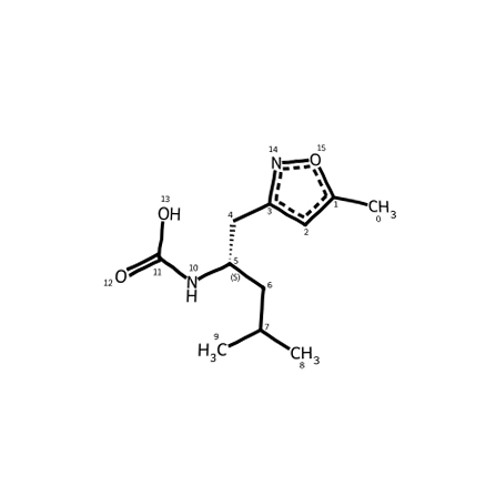 Cc1cc(C[C@H](CC(C)C)NC(=O)O)no1